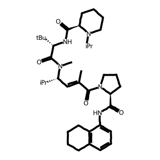 C/C(=C\[C@H](C(C)C)N(C)C(=O)[C@@H](NC(=O)[C@H]1CCCCN1C(C)C)C(C)(C)C)C(=O)N1CCC[C@H]1C(=O)Nc1cccc2c1CCCC2